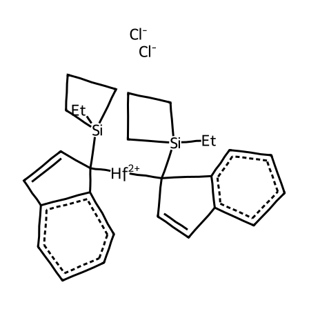 CC[Si]1([C]2([Hf+2][C]3([Si]4(CC)CCC4)C=Cc4ccccc43)C=Cc3ccccc32)CCC1.[Cl-].[Cl-]